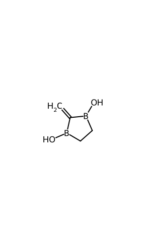 C=C1B(O)CCB1O